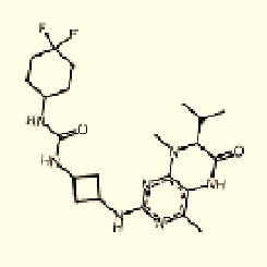 Cc1nc(NC2CC(NC(=O)NC3CCC(F)(F)CC3)C2)nc2c1NC(=O)[C@H](C(C)C)N2C